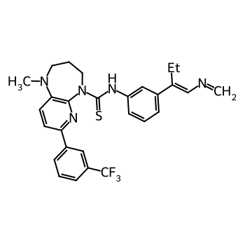 C=N/C=C(\CC)c1cccc(NC(=S)N2CCCN(C)c3ccc(-c4cccc(C(F)(F)F)c4)nc32)c1